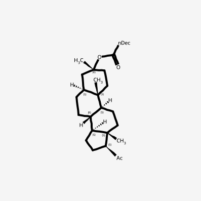 CCCCCCCCCCC(=O)O[C@]1(C)CC[C@@]2(C)[C@@H](CC[C@@H]3[C@@H]2CC[C@]2(C)[C@@H](C(C)=O)CC[C@@H]32)C1